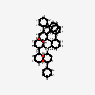 c1ccc(-c2ccc(N(c3ccccc3-c3ccccc3)c3cccc(-c4cccc(-c5ccccc5)c4)c3-c3cccc4oc5ccccc5c34)cc2)cc1